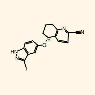 N#Cc1ccc2c(n1)CCC[C@H]2Oc1ccc2[nH]nc(I)c2c1